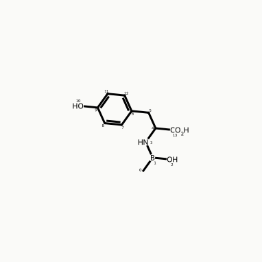 CB(O)NC(Cc1ccc(O)cc1)C(=O)O